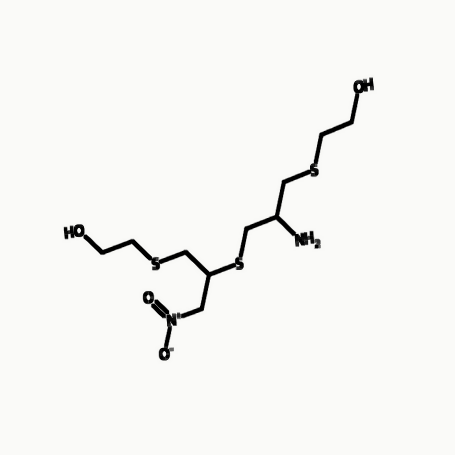 NC(CSCCO)CSC(CSCCO)C[N+](=O)[O-]